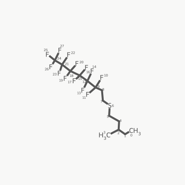 CCC(C)CCSCCC(F)(F)C(F)(F)C(F)(F)C(F)(F)C(F)(F)C(F)(F)F